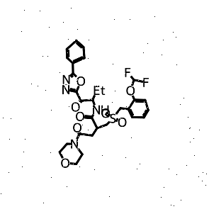 CCC(NC(=O)C(CC(=O)N1CCOCC1)CS(=O)(=O)Cc1ccccc1OC(F)F)C(=O)c1nnc(-c2ccccc2)o1